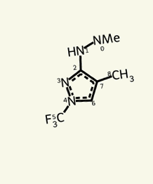 CNNc1nn(C(F)(F)F)cc1C